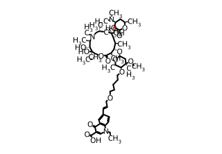 CC[C@H]1OC(=O)[C@H](C)[C@@H](O[C@H]2C[C@@](C)(OC)[C@@H](OCCCCCOCC=Cc3ccc4c(c3)c(=O)c(C(=O)O)cn4CC)[C@H](C)O2)[C@H](C)[C@@H](O[C@@H]2O[C@H](C)C[C@H](N(C)C)[C@H]2O)[C@](C)(O)C[C@@H](C)CN(C)[C@H](C)[C@@H](O)[C@]1(C)O